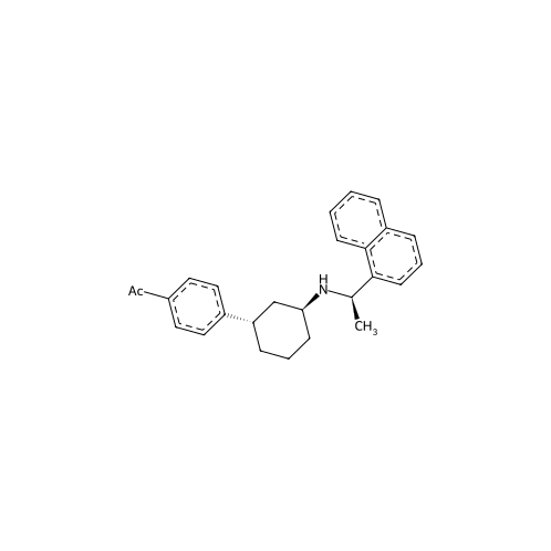 CC(=O)c1ccc([C@H]2CCC[C@H](N[C@H](C)c3cccc4ccccc34)C2)cc1